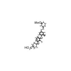 CO[C@H]1CCCN(CCc2ccc(Oc3ncnc(OC4CCN(C(=O)O)CC4)c3C)c(F)c2)C1